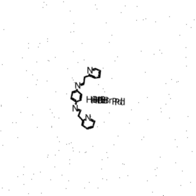 Br.Br.Br.Br.C(Cc1ccccn1)=Nc1ccc(N=CCc2ccccn2)cc1.[Pd].[Pd]